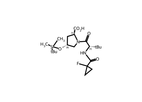 CC(C)(C)[C@H](NC(=O)C1(F)CC1)C(=O)N1C[C@H](O[Si](C)(C)C(C)(C)C)C[C@H]1C(=O)O